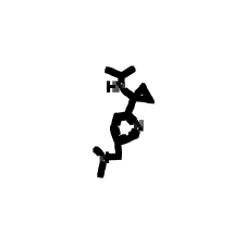 CC(C)NC1(c2ccc(CN(C)C)cn2)CC1